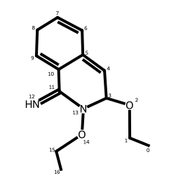 CCOC1C=C2C=CCC=C2C(=N)N1OCC